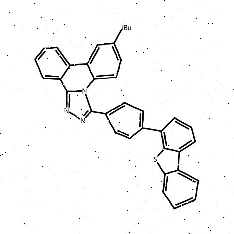 CCC(C)c1ccc2c(c1)c1ccccc1c1nnc(-c3ccc(-c4cccc5c4sc4ccccc45)cc3)n21